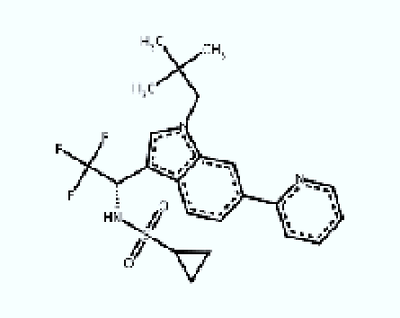 CC(C)(C)Cn1cc([C@H](NS(=O)(=O)C2CC2)C(F)(F)F)c2ccc(-c3ccccn3)cc21